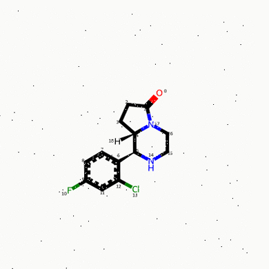 O=C1CC[C@H]2[C@H](c3ccc(F)cc3Cl)NCCN12